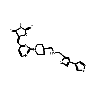 O=C1NC(=O)C(=Cc2ccnc(N3CCC(CNCc4cc(-c5ccsc5)cs4)CC3)n2)S1